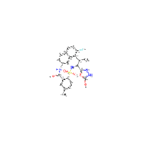 Cc1ccc(S(=O)(=O)NC(c2n[nH]c(=O)o2)C(C)c2c(F)ccc3ccccc23)c(C(N)=O)c1